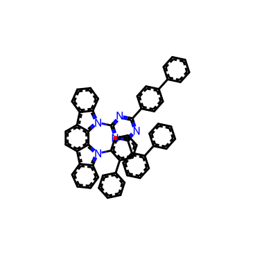 c1ccc(-c2ccc(-c3nc(-c4ccccc4-c4ccccc4)nc(-n4c5ccccc5c5ccc6c7ccccc7n(-c7ccccc7-c7ccccc7)c6c54)n3)cc2)cc1